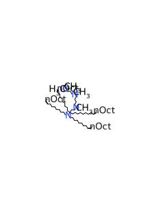 CCCCCCCC/C=C\CCCCCCCCN(CCCCCCCC/C=C\CCCCCCCC)C(CCCCCCCC/C=C\CCCCCCCC)(CCCCCCCC/C=C\CCCCCCCC)CCN(C)CCCCN(C)CCCN(C)C